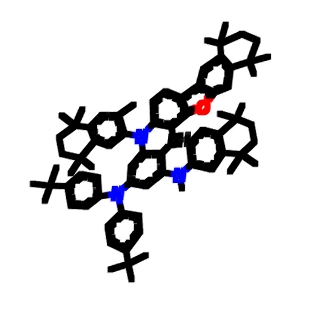 Cc1cc2c(cc1N1c3cc(N(c4ccc(C(C)(C)C)cc4)c4ccc(C(C)(C)C)cc4)cc(N(C)c4ccc5c(c4)C(C)(C)CCC5(C)C)c3Bc3c1ccc1c3oc3cc4c(cc31)C(C)(C)CCC4(C)C)C(C)(C)CCC2(C)C